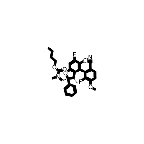 CCCCOC(=O)N(C)C[C@]1(c2ccccc2)Oc2cc(F)c(Cl)c(-c3c(C#N)ccc(OC)c3F)c2[C@@H]1C